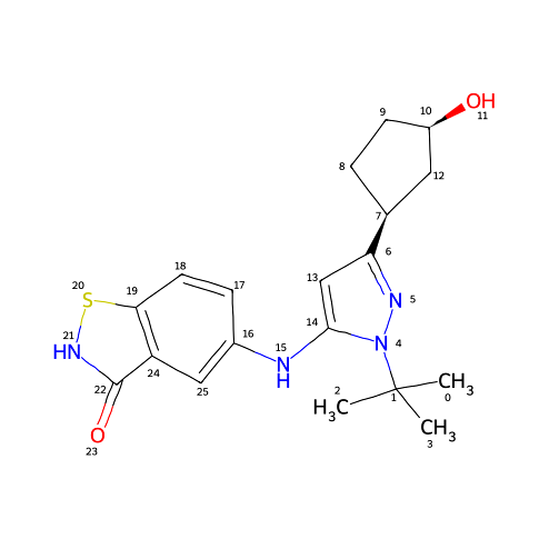 CC(C)(C)n1nc([C@H]2CC[C@@H](O)C2)cc1Nc1ccc2s[nH]c(=O)c2c1